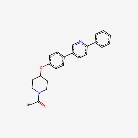 CC(C)C(=O)N1CCC(Oc2ccc(-c3ccc(-c4ccccc4)nc3)cc2)CC1